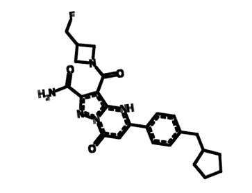 NC(=O)c1nn2c(=O)cc(-c3ccc(CC4CCCC4)cc3)[nH]c2c1C(=O)N1CC(CF)C1